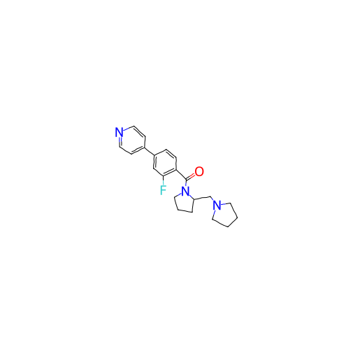 O=C(c1ccc(-c2ccncc2)cc1F)N1CCCC1CN1CCCC1